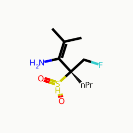 CCC[C@](CF)(C(N)=C(C)C)[SH](=O)=O